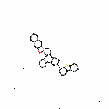 c1ccc2cc3c(cc2c1)oc1c3ccc2c3ccc(-c4cccc5c4sc4ccccc45)cc3c3ccccc3c21